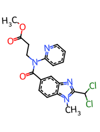 COC(=O)CCN(C(=O)c1ccc2c(c1)nc(C(Cl)Cl)n2C)c1ccccn1